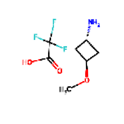 CO[C@H]1C[C@H](N)C1.O=C(O)C(F)(F)F